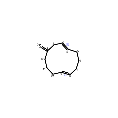 S=C1C/C=C/CCC/C=C/CCC1